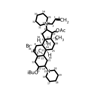 C=CC[N+]1(C2C[C@H]3[C@@H]4CCC5CC(OCC(C)C)C(N6CCCCC6)C[C@]5(C)[C@@H]4CC[C@]3(C)C2OC(C)=O)CCCCC1.[Br-]